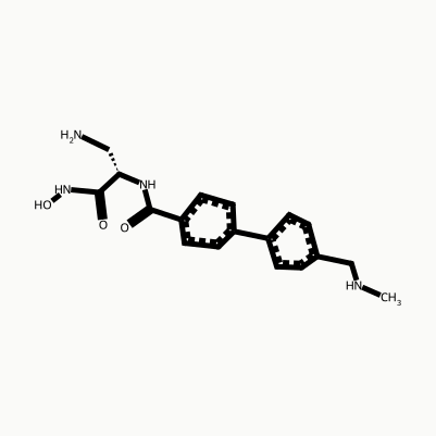 CNCc1ccc(-c2ccc(C(=O)N[C@@H](CN)C(=O)NO)cc2)cc1